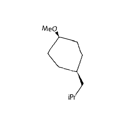 CO[C@H]1CC[C@@H](CC(C)C)CC1